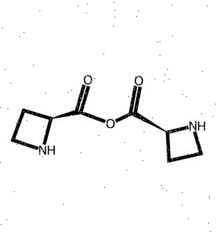 O=C(OC(=O)[C@@H]1CCN1)[C@@H]1CCN1